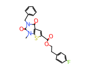 Cn1c(=O)n(Cc2ccccc2)c(=O)c2cc(C(=O)OCCc3ccc(F)cc3)sc21